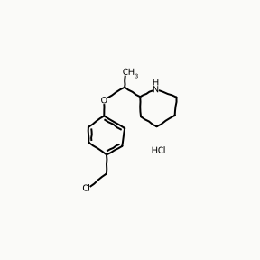 CC(Oc1ccc(CCl)cc1)C1CCCCN1.Cl